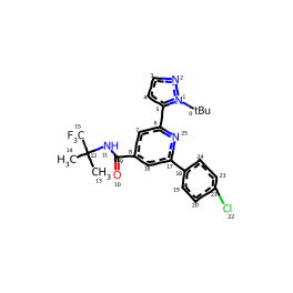 CC(C)(C)n1nccc1-c1cc(C(=O)NC(C)(C)C(F)(F)F)cc(-c2ccc(Cl)cc2)n1